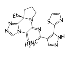 C=C(/N=C1\C(=C/N)n2cnnc2[C@]2(CC)CCCN12)c1cn[nH]c1-c1nccs1